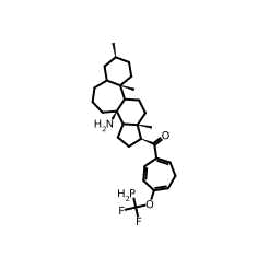 C[C@H]1CC[C@@]2(C)C(CCC[C@]3(N)C2CC[C@@]2(C)C3CC[C@@H]2C(=O)C2=CCC=C(OC(F)(F)P)C=C2)C1